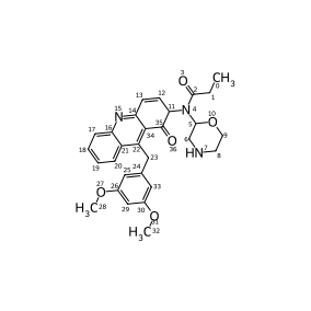 CCC(=O)N(C1CNCCO1)C1C=Cc2nc3ccccc3c(Cc3cc(OC)cc(OC)c3)c2C1=O